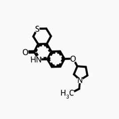 CCN1CCC(Oc2ccc3[nH]c(=O)c4c(c3c2)CCSC4)C1